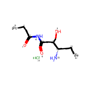 CC(C)CC(=O)NC(=O)C(O)[C@@H](N)CC(C)C.Cl